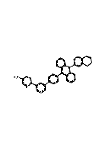 Cc1ccc(-c2cncc(-c3ccc(-c4c5ccccc5c(-c5ccc6c(c5)CCC=C6)c5ccccc45)cc3)c2)nc1